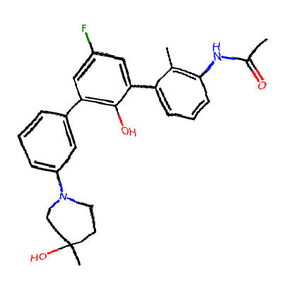 CC(=O)Nc1cccc(-c2cc(F)cc(-c3cccc(N4CCC(C)(O)C4)c3)c2O)c1C